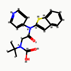 CC(C)(C)N(CC(=O)N(c1ccncc1)c1cc2ccccc2s1)C(=O)O